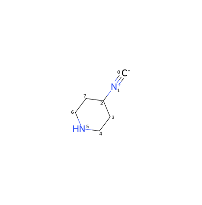 [C-]#[N+]C1CCNCC1